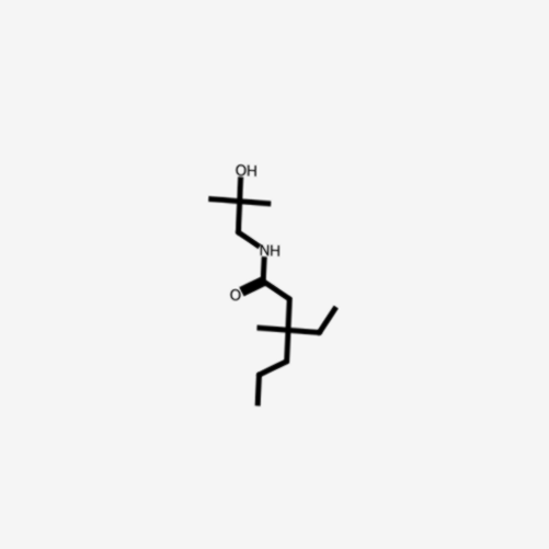 CCCC(C)(CC)CC(=O)NCC(C)(C)O